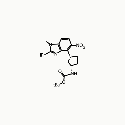 CC(C)c1nc2c(N3CC[C@H](NC(=O)OC(C)(C)C)C3)c([N+](=O)[O-])ccc2n1C